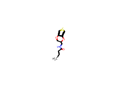 CCCC(=O)NCC1COc2cscc2O1